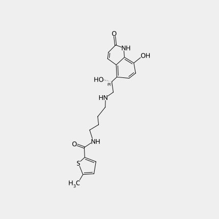 Cc1ccc(C(=O)NCCCCNC[C@H](O)c2ccc(O)c3[nH]c(=O)ccc23)s1